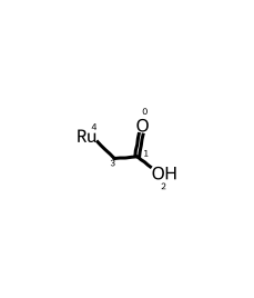 O=C(O)[CH2][Ru]